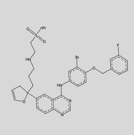 CCCS(=O)(=O)CCNCCCC1(c2ccc3ncnc(Nc4ccc(OCc5cccc(F)c5)c(Br)c4)c3c2)CC=CO1